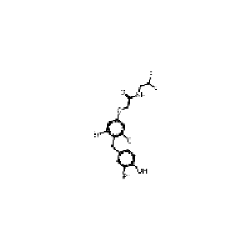 CC(C)c1cc(Cc2c(Cl)cc(OCC(=O)NCC(F)F)cc2Br)ccc1O